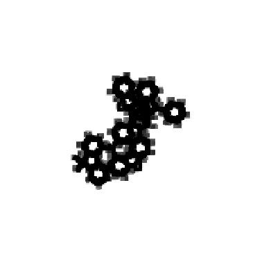 CC1(C)c2ccccc2-c2c(N(c3ccc(-c4cccc5c4oc4ccccc45)cc3)c3cccc4oc5ccc(-c6ccc7c(c6)C(c6ccccc6)c6ccccc6-7)cc5c34)cccc21